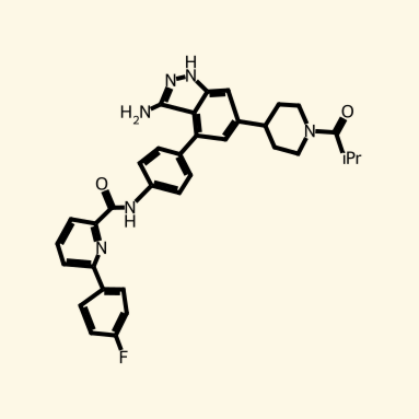 CC(C)C(=O)N1CCC(c2cc(-c3ccc(NC(=O)c4cccc(-c5ccc(F)cc5)n4)cc3)c3c(N)n[nH]c3c2)CC1